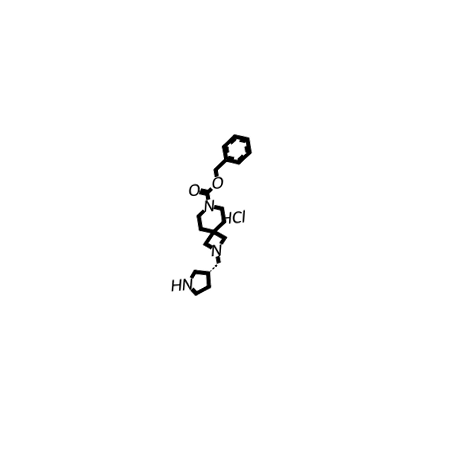 Cl.O=C(OCc1ccccc1)N1CCC2(CC1)CN(C[C@@H]1CCNC1)C2